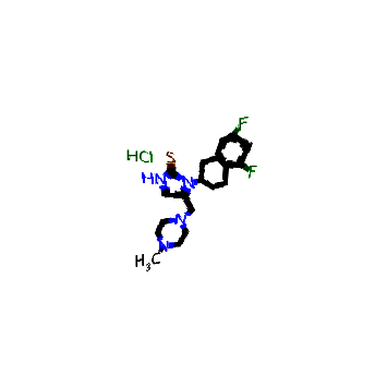 CN1CCN(Cc2c[nH]c(=S)n2C2CCc3c(F)cc(F)cc3C2)CC1.Cl